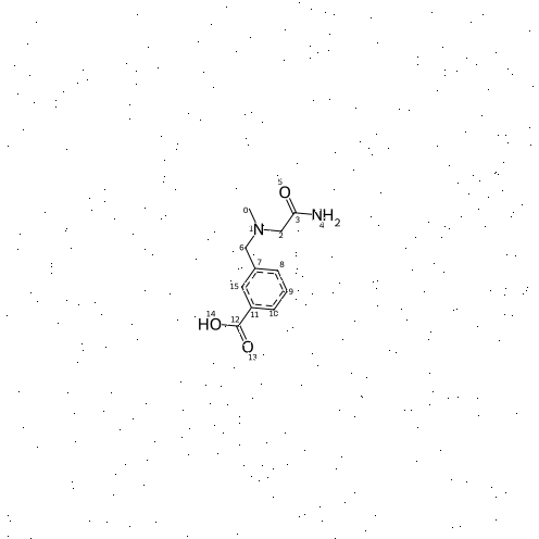 CN(CC(N)=O)Cc1cccc(C(=O)O)c1